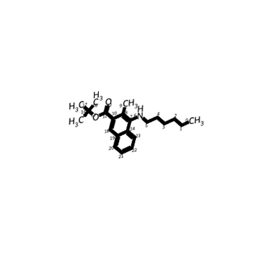 CCCCCCNc1c(C)c(C(=O)OC(C)(C)C)cc2ccccc12